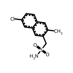 Cc1cc2ccc(Cl)cc2cc1CS(N)(=O)=O